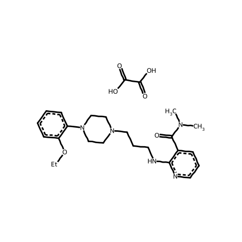 CCOc1ccccc1N1CCN(CCCNc2ncccc2C(=O)N(C)C)CC1.O=C(O)C(=O)O